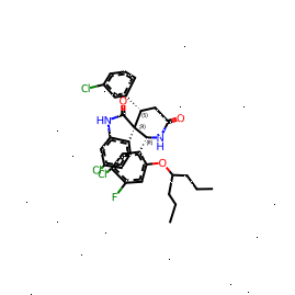 CCCC(CCC)Oc1cc(F)c(Cl)cc1[C@H]1NC(=O)C[C@@H](c2cccc(Cl)c2)[C@]12C(=O)Nc1cc(Cl)ccc12